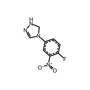 O=[N+]([O-])c1cc(N2C=NNC2)ccc1F